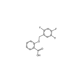 O=C(O)c1ccccc1OCc1cc(F)c(F)cc1F